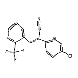 N#C/C(=C\c1ccccc1C(F)(F)F)c1ccc(Cl)cn1